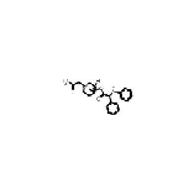 NC(=O)C[N+]12CCC(CC1)[C@@H](OC(=O)C(Nc1ccccc1)c1ccccc1)C2